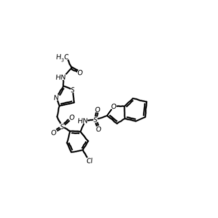 CC(=O)Nc1nc(CS(=O)(=O)c2ccc(Cl)cc2NS(=O)(=O)c2cc3ccccc3o2)cs1